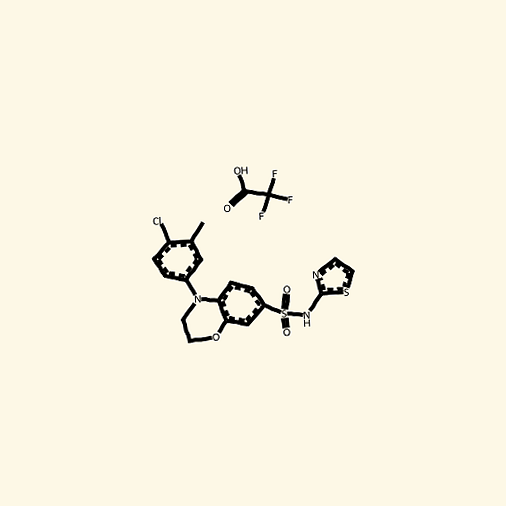 Cc1cc(N2CCOc3cc(S(=O)(=O)Nc4nccs4)ccc32)ccc1Cl.O=C(O)C(F)(F)F